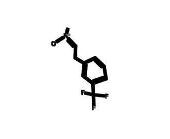 C[N+]([O-])=CCc1cccc(C(F)(F)F)c1